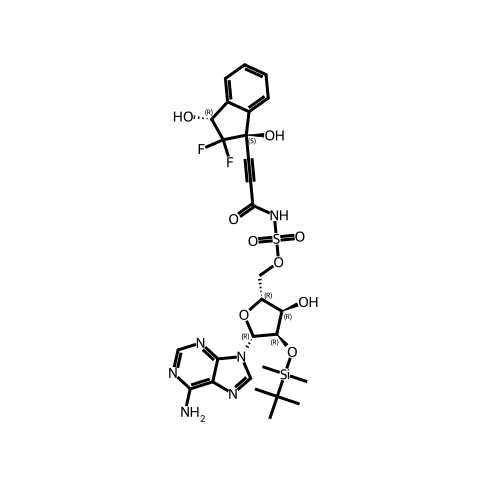 CC(C)(C)[Si](C)(C)O[C@@H]1[C@H](O)[C@@H](COS(=O)(=O)NC(=O)C#C[C@@]2(O)c3ccccc3[C@@H](O)C2(F)F)O[C@H]1n1cnc2c(N)ncnc21